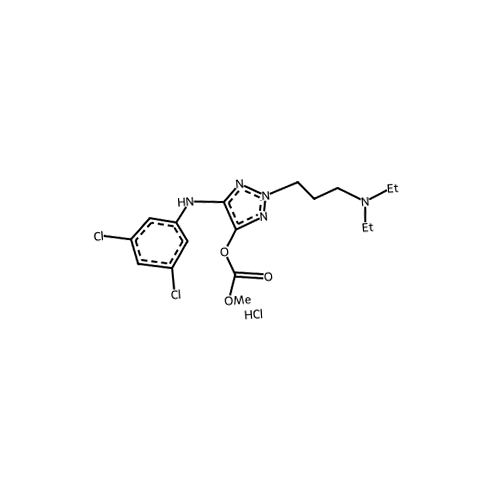 CCN(CC)CCCn1nc(Nc2cc(Cl)cc(Cl)c2)c(OC(=O)OC)n1.Cl